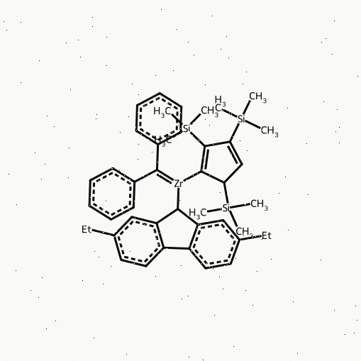 CCc1ccc2c(c1)[CH]([Zr]([C]1=C([Si](C)(C)C)C([Si](C)(C)C)=CC1[Si](C)(C)C)=[C](c1ccccc1)c1ccccc1)c1cc(CC)ccc1-2